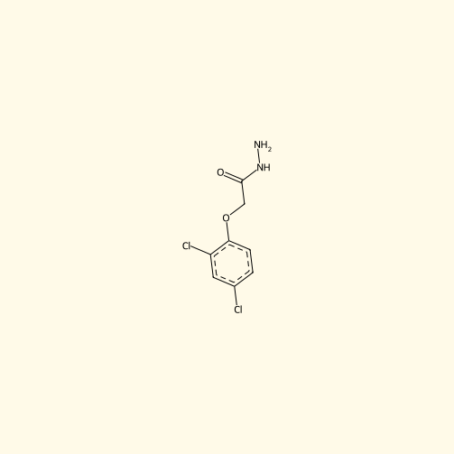 NNC(=O)COc1ccc(Cl)cc1Cl